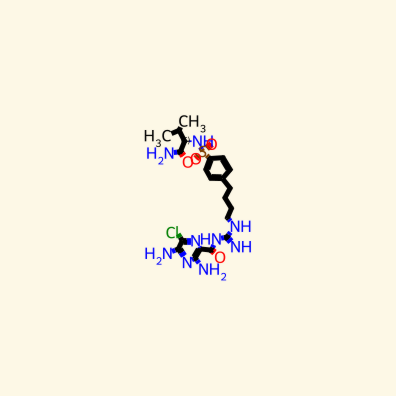 CC(C)[C@H](NS(=O)(=O)c1ccc(CCCCNC(=N)NC(=O)c2nc(Cl)c(N)nc2N)cc1)C(N)=O